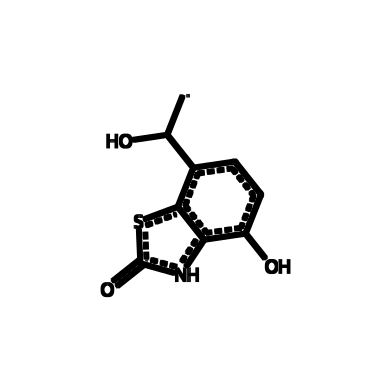 [CH2]C(O)c1ccc(O)c2[nH]c(=O)sc12